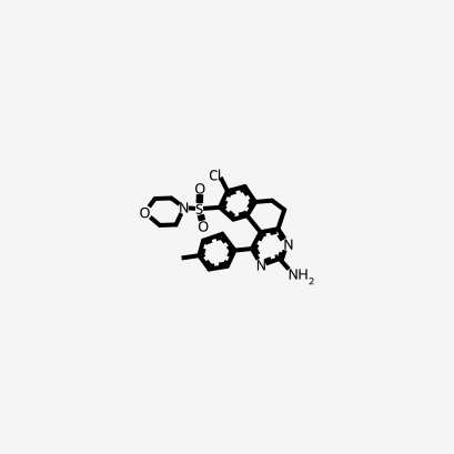 Cc1ccc(-c2nc(N)nc3c2-c2cc(S(=O)(=O)N4CCOCC4)c(Cl)cc2CC3)cc1